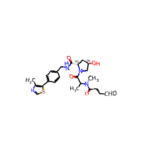 Cc1ncsc1-c1ccc(CNC(=O)[C@@H]2C[C@@H](O)CN2C(=O)C(C)N(C)C(=O)CCC=O)cc1